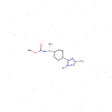 CCn1cc(C(F)(F)F)nc1-c1ccc([C@@H](C)NC(=O)OC(C)(C)C)cc1